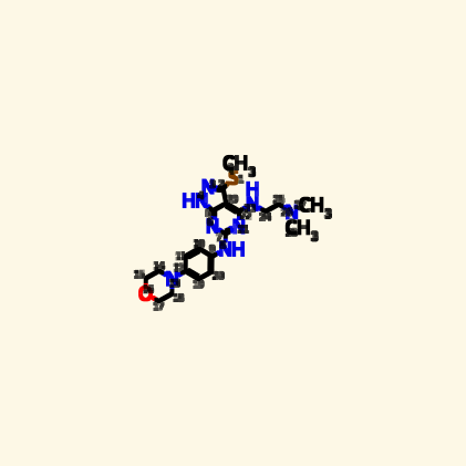 CSc1n[nH]c2nc(Nc3ccc(N4CCOCC4)cc3)nc(NCCN(C)C)c12